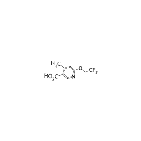 Cc1cc(OCC(F)(F)F)ncc1C(=O)O